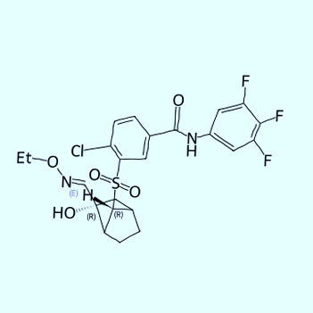 CCO/N=C/[C@@]1(O)CC2CCC1[C@@H]2S(=O)(=O)c1cc(C(=O)Nc2cc(F)c(F)c(F)c2)ccc1Cl